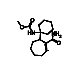 COC(=O)NC1(C2CCCC[C]=C2C(N)=O)CCCCC1